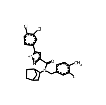 Cc1ccc(CN(C(=O)c2cc(-c3ccc(Cl)c(Cl)c3)[nH]n2)C2CC3CCC2C3)cc1Cl